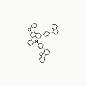 c1cc(-c2ccc(-c3cccc4ccccc34)cc2)cc(N(c2ccc(-c3cccc4c3oc3ccccc34)cc2)c2ccccc2-c2ccc3c(c2)oc2ccccc23)c1